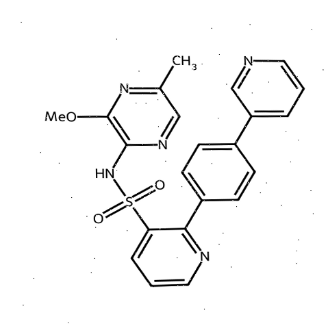 COc1nc(C)cnc1NS(=O)(=O)c1cccnc1-c1ccc(-c2cccnc2)cc1